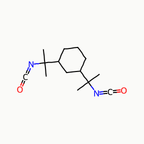 CC(C)(N=C=O)C1CCCC(C(C)(C)N=C=O)C1